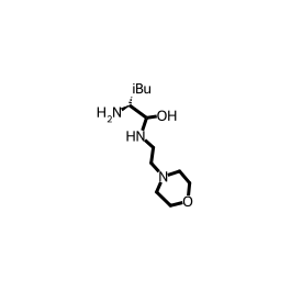 CC[C@@H](C)[C@H](N)C(O)NCCN1CCOCC1